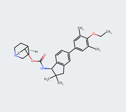 CCOc1c(C)cc(-c2ccc3c(c2)CC(C)(C)[C@H]3NC(=O)O[C@H]2CN3CCC2CC3)cc1C